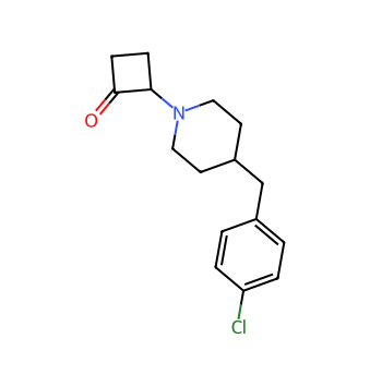 O=C1CCC1N1CCC(Cc2ccc(Cl)cc2)CC1